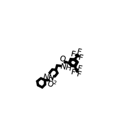 NC1(C(=O)N2CCC(CNC(=O)c3cc(C(F)(F)F)cc(C(F)(F)F)c3)CC2)CCCCC1